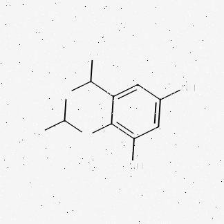 Nc1cc(N)c2c(c1)C(C(Cl)(Cl)Cl)OC(C(Cl)(Cl)Cl)O2